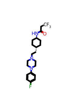 O=C(CC(F)(F)F)N[C@H]1CC[C@H](CCN2CCN(c3ccc(F)cc3)CC2)CC1